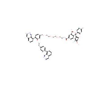 Cc1cc2c(cc1F)C1(OC(=O)c3cc(C(=O)NCCOCCOCCOCc4ccc(-c5cccc6ccncc56)c(OCCc5ccc(-c6cccc7ccncc67)cc5)c4)ccc31)c1cc(F)c(O)cc1O2